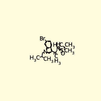 CC(C)Cn1cc([C@@H](C)N[S@@+]([O-])C(C)(C)C)c2ccc(Br)cc21